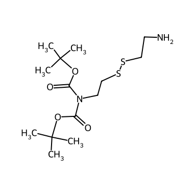 CC(C)(C)OC(=O)N(CCSSCCN)C(=O)OC(C)(C)C